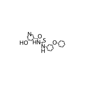 O=C(NC(=S)Nc1cccc(Oc2ccccc2)c1)c1cncc(O)c1